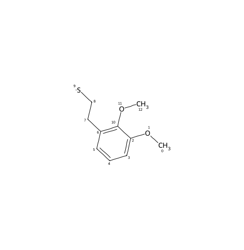 COc1cccc(CC[S])c1OC